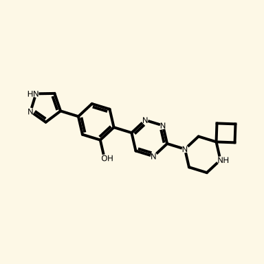 Oc1cc(-c2cn[nH]c2)ccc1-c1cnc(N2CCNC3(CCC3)C2)nn1